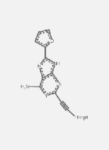 CCCCCCCC#Cc1nc(N)c2nc(-c3ccco3)[nH]c2n1